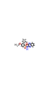 COc1ccc(S(=O)(=O)Nc2nc3ccccc3nc2OCC2CCCC2)cc1